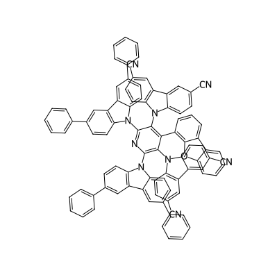 N#Cc1ccc2c(c1)c1cc(C#N)ccc1n2-c1c(-n2c3ccc(-c4ccccc4)cc3c3cc(-c4ccccc4)ccc32)nc(-n2c3ccc(-c4ccccc4)cc3c3cc(-c4ccccc4)ccc32)c(-n2c3ccc(C#N)cc3c3cc(C#N)ccc32)c1-c1cccc2c1oc1ccccc12